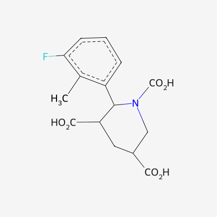 Cc1c(F)cccc1C1C(C(=O)O)CC(C(=O)O)CN1C(=O)O